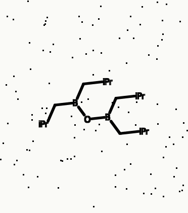 CC(C)CB(CC(C)C)OB(CC(C)C)CC(C)C